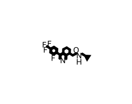 O=C(CC1CCCc2c(-c3ccc(C(F)(F)F)cc3F)cncc21)NCC1CC1